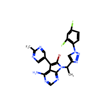 CC(c1cn(-c2ccc(F)cc2F)nn1)n1c(Br)c(-c2cnc(C(F)(F)F)nc2)c2c(N)ncnc21